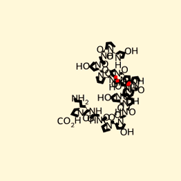 NCCCC[C@H](NC(=O)CNC(=O)[C@@H]1CCCN1C(=O)[C@@H]1C[C@@H](O)CN1C(=O)CNC(=O)[C@@H]1CCCN1C(=O)[C@@H]1C[C@@H](O)CN1C(=O)CNC(=O)[C@@H]1CCCN1C(=O)[C@@H]1C[C@@H](O)CN1C(=O)CNC(=O)[C@@H]1CCCN1C(=O)[C@@H]1C[C@@H](O)CN1C(=O)CNC(=O)[C@@H]1CCCN1C(=O)[C@@H]1C[C@@H](O)CN1C(=O)CNC(=O)[C@@H]1CCCN1C(=O)[C@@H]1C[C@@H](O)CN1)C(=O)N1CCC[C@H]1C(=O)O